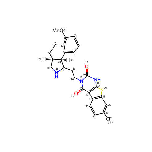 COc1cccc2c1CC[C@H]1CNC(CCn3c(=O)[nH]c4sc5cc(C(F)(F)F)ccc5c4c3=O)[C@@H]21